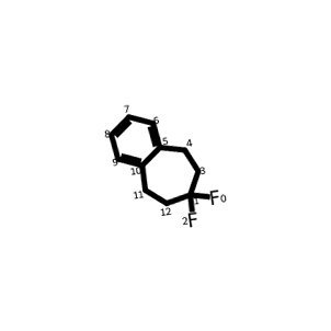 FC1(F)CCc2ccccc2CC1